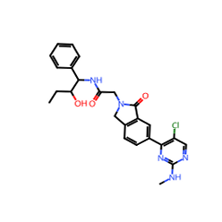 CCC(O)C(NC(=O)CN1Cc2ccc(-c3nc(NC)ncc3Cl)cc2C1=O)c1ccccc1